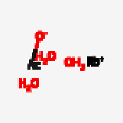 CC(=O)[O-].O.O.O.[Rb+]